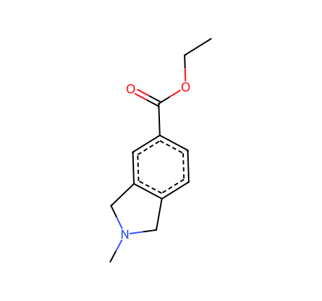 CCOC(=O)c1ccc2c(c1)CN(C)C2